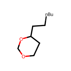 CCCCCCC1CCOCO1